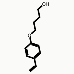 C=Cc1ccc(OCCCCO)cc1